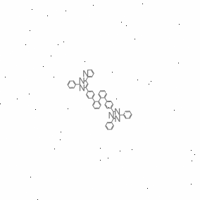 c1ccc(-c2nc(-c3ccc(-c4ccccc4-c4ccccc4-c4ccc(-c5nc(-c6ccccc6)nc(-c6ccccc6)n5)cc4)cc3)cc(-c3ccccn3)n2)cc1